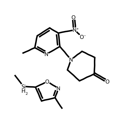 C[SiH2]c1cc(C)no1.Cc1ccc([N+](=O)[O-])c(N2CCC(=O)CC2)n1